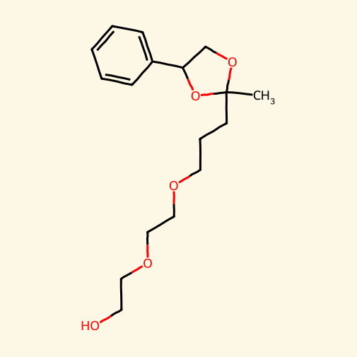 CC1(CCCOCCOCCO)OCC(c2ccccc2)O1